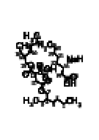 CCCCC(CC)COC(=O)CC(C(=O)OCC(CC)CCCC)S(=O)(=O)O.CCCCCCCC(=O)O.[NaH]